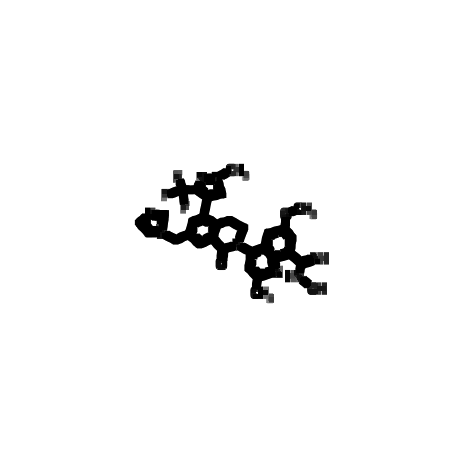 COc1cc(C(=N)NO)c2nc(C)cc(N3CCc4c(cc(Cn5ccnc5)cc4-c4cn(C)nc4C(F)(F)F)C3=O)c2c1